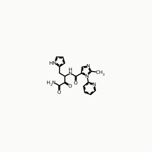 Cc1ncc(C(=O)NC(Cc2ccc[nH]2)C(=O)C(N)=O)n1-c1ccccn1